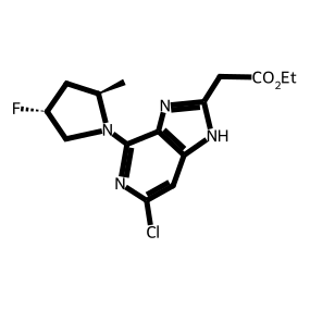 CCOC(=O)Cc1nc2c(N3C[C@H](F)C[C@H]3C)nc(Cl)cc2[nH]1